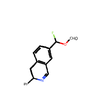 CC(C)C1Cc2ccc(C(F)OC=O)cc2C=N1